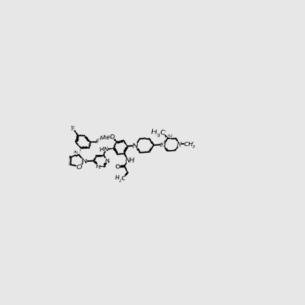 C=CC(=O)Nc1cc(Nc2cc(N3OCC[C@@H]3c3cc(F)cc(F)c3)ncn2)c(OC)cc1N1CCC(N2CCN(C)C[C@@H]2C)CC1